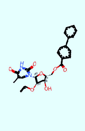 C=CO[C@@H]1[C@H](O)[C@@H](COC(=O)c2ccc(-c3ccccc3)cc2)O[C@H]1n1cc(C)c(=O)[nH]c1=O